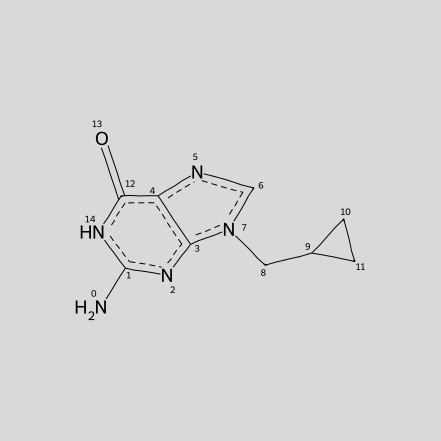 Nc1nc2c(ncn2CC2CC2)c(=O)[nH]1